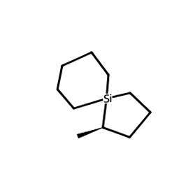 C[C@@H]1CCC[Si]12CCCCC2